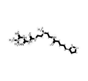 CN(CCNC(=O)CCCC[C@@H]1CCSS1)CCOC(=O)NC(=N)NC(=N)N(C)C